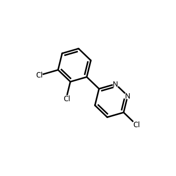 Clc1ccc(-c2cccc(Cl)c2Cl)nn1